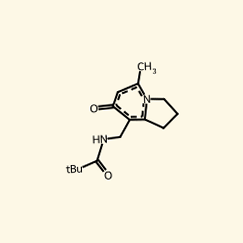 Cc1cc(=O)c(CNC(=O)C(C)(C)C)c2n1CCC2